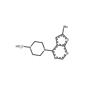 CC(C)(C)c1cc2c(N3CCN(C(=O)O)CC3)ncnc2s1